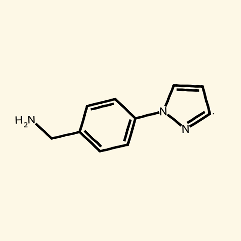 NCc1ccc(-n2cc[c]n2)cc1